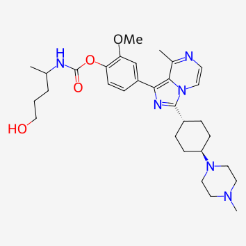 COc1cc(-c2nc([C@H]3CC[C@H](N4CCN(C)CC4)CC3)n3ccnc(C)c23)ccc1OC(=O)NC(C)CCCO